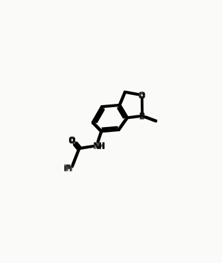 CB1OCc2ccc(NC(=O)C(C)C)cc21